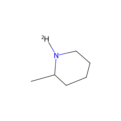 [2H]N1CCCCC1C